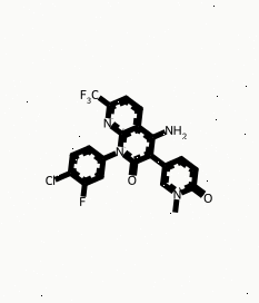 Cn1cc(-c2c(N)c3ccc(C(F)(F)F)nc3n(-c3ccc(Cl)c(F)c3)c2=O)ccc1=O